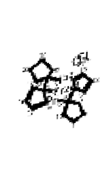 CC(C)C1([C]2([Zr+2][C]3(C4(C(C)C)CCCC4)C=CC=C3)C=CC=C2)CCCC1.[Cl-].[Cl-]